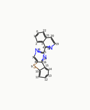 c1ccc2c(-c3ncc4sc5ccccc5c4n3)nccc2c1